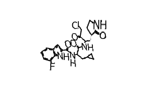 O=C(NC(CC1CC1)C(=O)NC(C[C@@H]1CCNC1=O)C(=O)CCl)c1cc2cccc(F)c2[nH]1